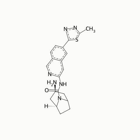 Cc1nnc(-c2ccc3cnc(NC(=O)N4C5CC[C@H]4C[C@@H](N)C5)cc3c2)s1